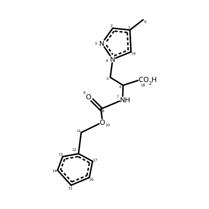 Cc1cnn(CC(NC(=O)OCc2ccccc2)C(=O)O)c1